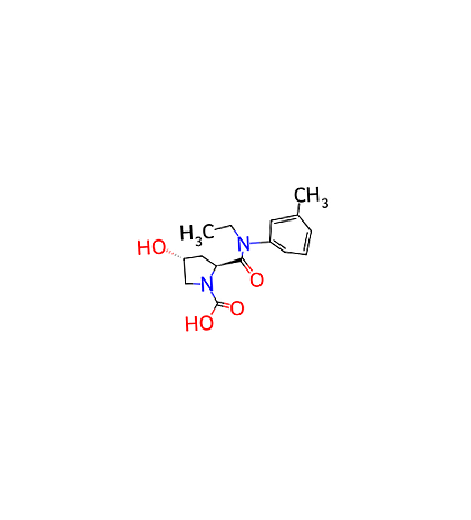 CCN(C(=O)[C@@H]1C[C@@H](O)CN1C(=O)O)c1cccc(C)c1